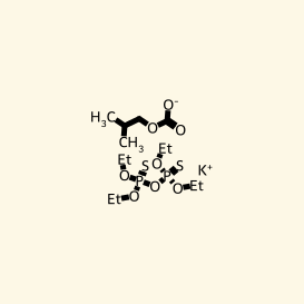 CC(C)COC(=O)[O-].CCOP(=S)(OCC)OP(=S)(OCC)OCC.[K+]